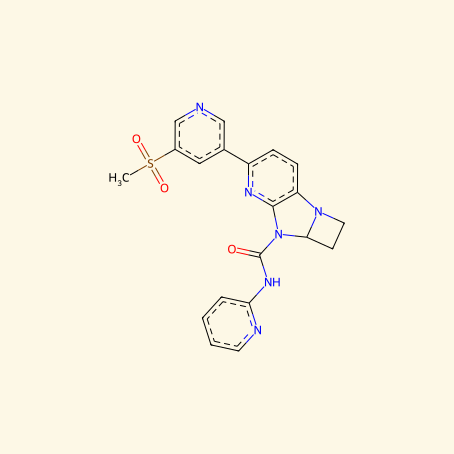 CS(=O)(=O)c1cncc(-c2ccc3c(n2)N(C(=O)Nc2ccccn2)C2CCN32)c1